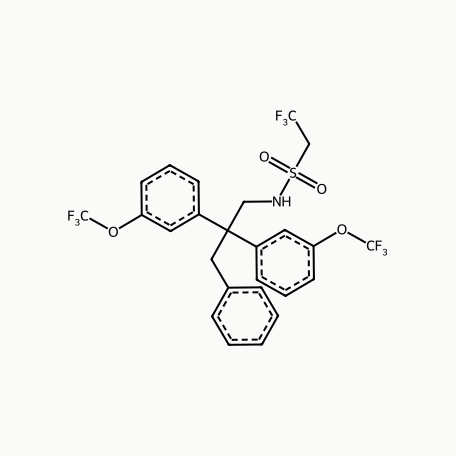 O=S(=O)(CC(F)(F)F)NCC(Cc1ccccc1)(c1cccc(OC(F)(F)F)c1)c1cccc(OC(F)(F)F)c1